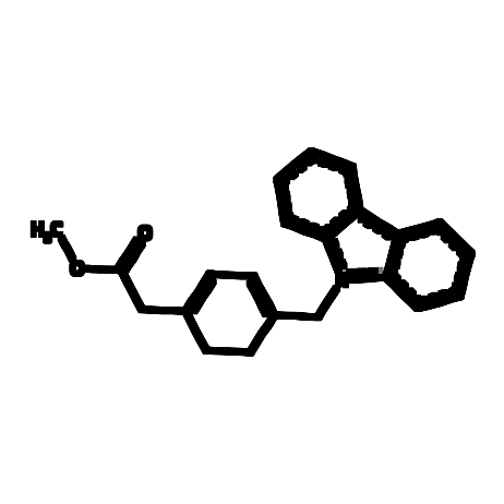 COC(=O)CC1=CC=C(Cn2c3ccccc3c3ccccc32)CC1